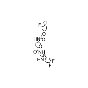 O=C(COc1ccc(Cl)c(F)c1)N[C@@H]1CC[C@@H](C(=O)NCc2nc3cc(F)c(F)cc3[nH]2)OC1